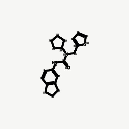 O=C(Nc1ccc2c(c1)CCC2)N(Cc1cccs1)C1CCCC1